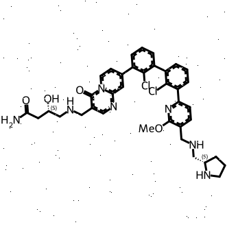 COc1nc(-c2cccc(-c3cccc(-c4ccn5c(=O)c(CNC[C@@H](O)CC(N)=O)cnc5c4)c3Cl)c2Cl)ccc1CNC[C@@H]1CCCN1